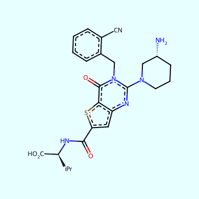 CC(C)[C@H](NC(=O)c1cc2nc(N3CCC[C@@H](N)C3)n(Cc3ccccc3C#N)c(=O)c2s1)C(=O)O